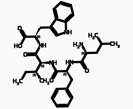 CC[C@H](C)[C@H](NC(=O)[C@H](Cc1ccccc1)NC(=O)[C@@H](N)CC(C)C)C(=O)N[C@@H](Cc1c[nH]c2ccccc12)C(=O)O